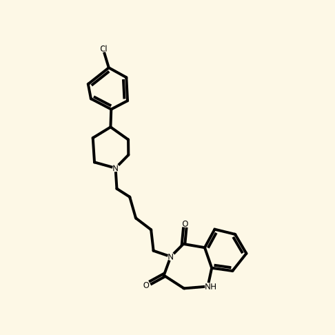 O=C1CNc2ccccc2C(=O)N1CCCCCN1CCC(c2ccc(Cl)cc2)CC1